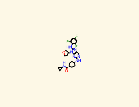 O=C(NC1CC1)[C@H]1CC[C@H](Nc2ncc3nc(Nc4c(F)cc(F)cc4F)n([C@@H]4CCOC4)c3n2)CC1